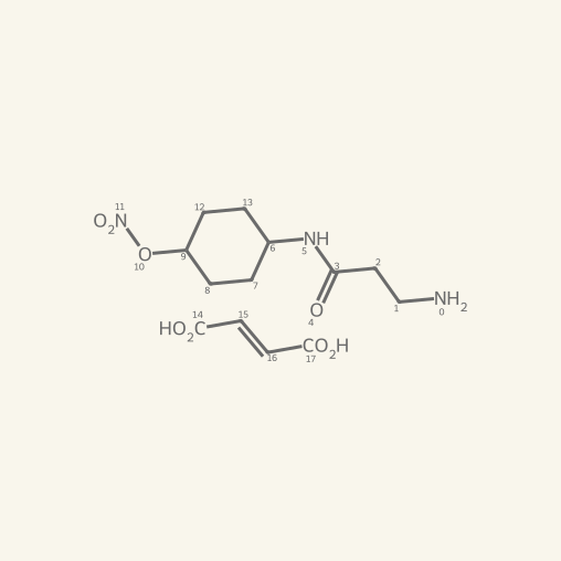 NCCC(=O)NC1CCC(O[N+](=O)[O-])CC1.O=C(O)C=CC(=O)O